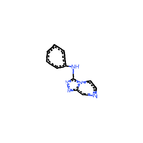 c1ccc(Nc2nnc3cnccn23)cc1